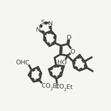 CCOC(=O)c1ccc(C=O)cc1.CCOC(=O)c1ccc(CC2=C(c3ccc4nsnc4c3)C(=O)OC2(O)c2ccc(C)c(C)c2)cc1